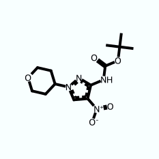 CC(C)(C)OC(=O)Nc1nn(C2CCOCC2)cc1[N+](=O)[O-]